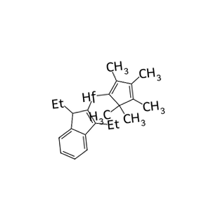 CCC1=[C]([Hf][C]2=C(C)C(C)=C(C)C2(C)C)C(CC)c2ccccc21